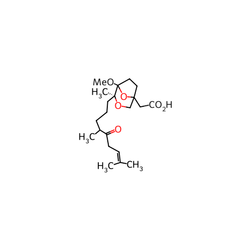 COC12CCC(CC(=O)O)(CO[C@@]1(C)CCCC(C)C(=O)CC=C(C)C)O2